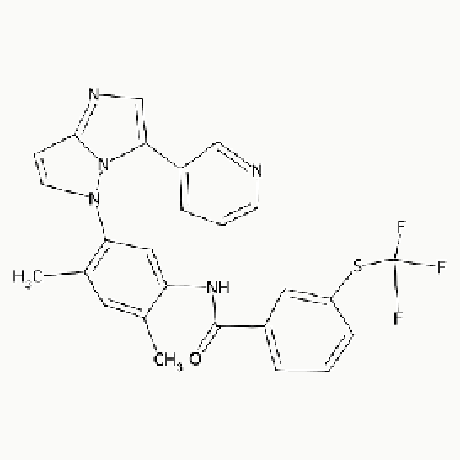 Cc1cc(C)c(-n2ccc3ncc(-c4cccnc4)n32)cc1NC(=O)c1cccc(SC(F)(F)F)c1